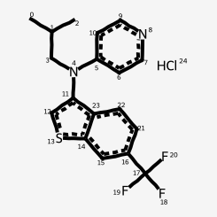 CC(C)CN(c1ccncc1)c1csc2cc(C(F)(F)F)ccc12.Cl